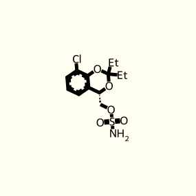 CCC1(CC)Oc2c(Cl)cccc2[C@@H](COS(N)(=O)=O)O1